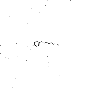 CC(C)COc1ccc(CNCCCCOC(C)C)cc1